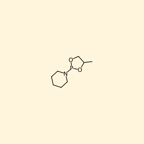 CC1COP(N2CCCCC2)O1